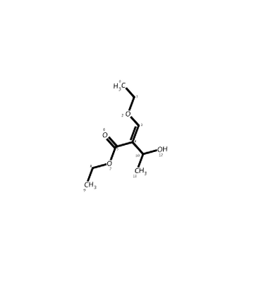 CCOC=C(C(=O)OCC)C(C)O